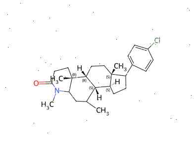 CC1CC2N(C)C(=O)CC[C@]2(C)[C@@H]2CC[C@]3(C)C(c4ccc(Cl)cc4)CC[C@H]3[C@H]12